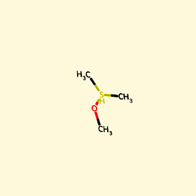 CO[SH](C)C